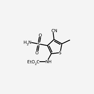 CCOC(=O)Nc1sc(C)c(C#N)c1S(N)(=O)=O